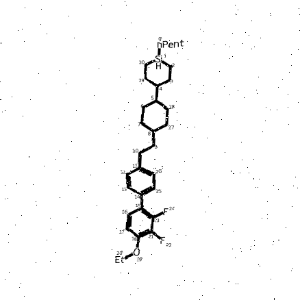 CCCCC[SiH]1CCC(C2CCC(CCc3ccc(-c4ccc(OCC)c(F)c4F)cc3)CC2)CC1